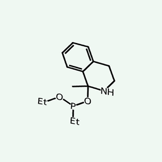 CCOP(CC)OC1(C)NCCc2ccccc21